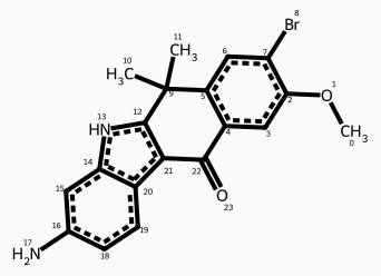 COc1cc2c(cc1Br)C(C)(C)c1[nH]c3cc(N)ccc3c1C2=O